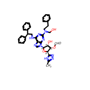 Cc1nnc([C@H]2O[C@@H](n3cnc4c(NCC(c5ccccc5)c5ccccc5)nc(N(CO)CCc5ccccc5)nc43)[C@H](O)[C@@H]2OC=O)[nH]1